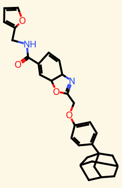 O=C(NCc1ccco1)C1=CC2OC(COc3ccc(C45CC6CC(CC(C6)C4)C5)cc3)=NC2C=C1